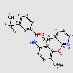 COc1ccc(NC(=O)c2cccc(C(C)(C)C#N)c2)cc1Oc1ncccc1[N+](=O)[O-]